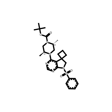 C[C@@H]1CN(c2ncnc3c2C2(CCC2)CN3S(=O)(=O)c2ccccc2)[C@@H](C)CN1C(=O)OC(C)(C)C